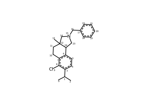 CC(C)c1ccc2c(c1Cl)CCC1(C)CN(Cc3ccccc3)CC21